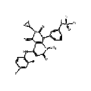 CCS(=O)(=O)Nc1cccc(-n2c(=O)n(C3CC3)c(=O)c3c(Nc4ccc(I)cc4F)cc(=O)n(C)c32)c1